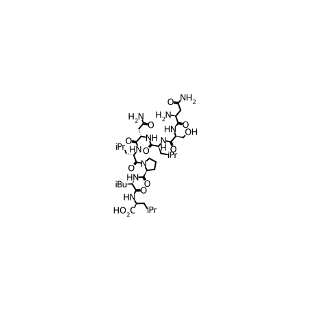 CC[C@H](C)[C@H](NC(=O)[C@@H]1CCCN1C(=O)[C@H](CC(C)C)NC(=O)[C@H](CC(N)=O)NC(=O)[C@H](CC(C)C)NC(=O)[C@H](CO)NC(=O)[C@@H](N)CC(N)=O)C(=O)N[C@@H](CC(C)C)C(=O)O